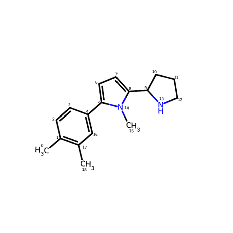 Cc1ccc(-c2ccc(C3CCCN3)n2C)cc1C